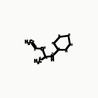 C=COC(C)NC1CCCCC1